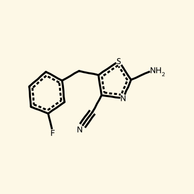 N#Cc1nc(N)sc1Cc1cccc(F)c1